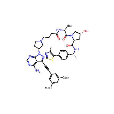 COc1cc(C#Cc2nn([C@H]3CCN(CCCC(=O)N[C@H](C(=O)N4C[C@H](O)C[C@H]4C(=O)N[C@H](C)c4ccc(-c5scnc5C)cc4)C(C)(C)C)C3)c3ncnc(N)c23)cc(OC)c1